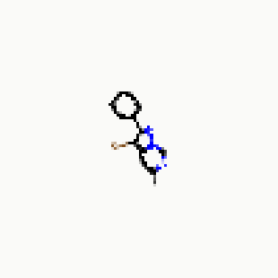 Cc1cc2c(Br)c(-c3ccccc3)nn2cn1